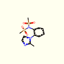 Cc1nccn1-c1ccccc1N(S(C)(=O)=O)S(C)(=O)=O